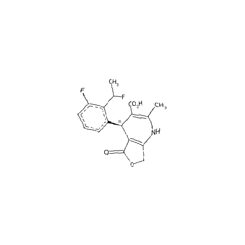 CC1=C(C(=O)O)[C@H](c2cccc(F)c2C(C)F)C2=C(COC2=O)N1